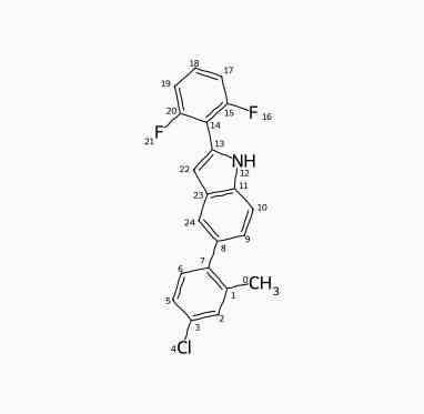 Cc1cc(Cl)ccc1-c1ccc2[nH]c(-c3c(F)cccc3F)cc2c1